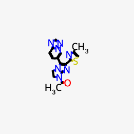 CC(=O)N1CCn2c1nc(-c1nc(C)cs1)c2-c1ccc2ncnn2c1